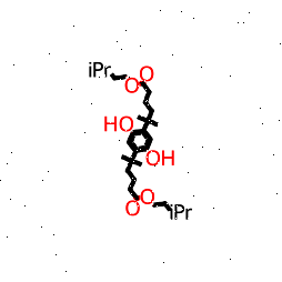 CC(C)CCOC(=O)CCCC(C)(C)c1cc(O)c(C(C)(C)CCCC(=O)OCCC(C)C)cc1O